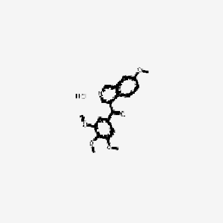 COc1ccc2c(C(=O)c3cc(OC)c(OC)c(OC)c3)cncc2c1.Cl